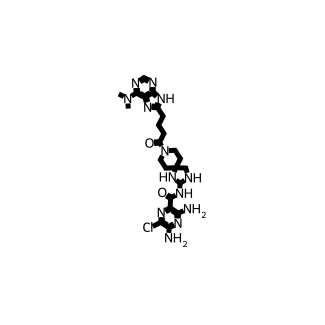 CN(C)c1ncnc2[nH]c(CCCC(=O)N3CCC4(CC3)CNC(NC(=O)c3nc(Cl)c(N)nc3N)N4)nc12